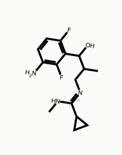 CN/C(=N\CC(C)C(O)c1c(F)ccc(N)c1F)C1CC1